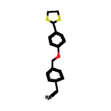 C=Cc1ccc(COc2ccc(C3SCCS3)cc2)cc1